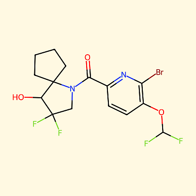 O=C(c1ccc(OC(F)F)c(Br)n1)N1CC(F)(F)C(O)C12CCCC2